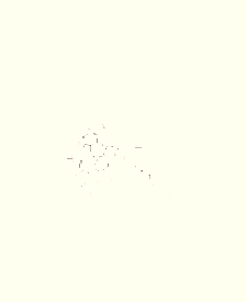 C=CC(=O)N1CCN(c2nc(=O)n(-c3c(OC)ncnc3OC)c3nc(-c4c(O)cccc4F)c(C)cc23)[C@@H](C)C1